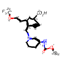 CC(C)(C)OC(=O)N[C@H]1CCCN(Cc2ccc(C(=O)O)cc2CCOC(F)(F)F)C1